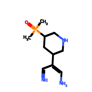 CP(C)(=O)C1CNCC(/C(C=N)=C/N)C1